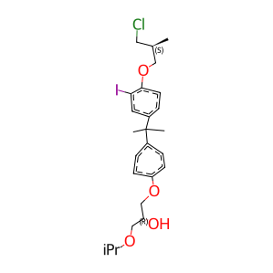 CC(C)OC[C@@H](O)COc1ccc(C(C)(C)c2ccc(OC[C@H](C)CCl)c(I)c2)cc1